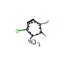 O=[N+]([O-])c1c(Cl)ccc(F)c1F